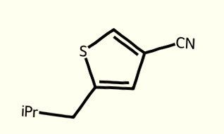 [CH2]C(C)Cc1cc(C#N)cs1